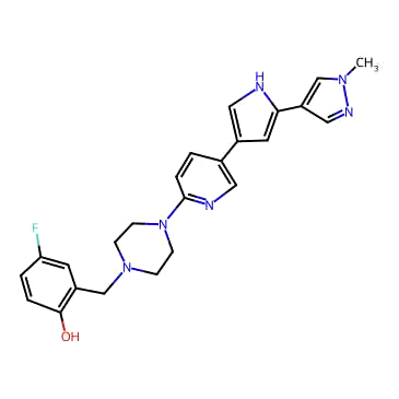 Cn1cc(-c2cc(-c3ccc(N4CCN(Cc5cc(F)ccc5O)CC4)nc3)c[nH]2)cn1